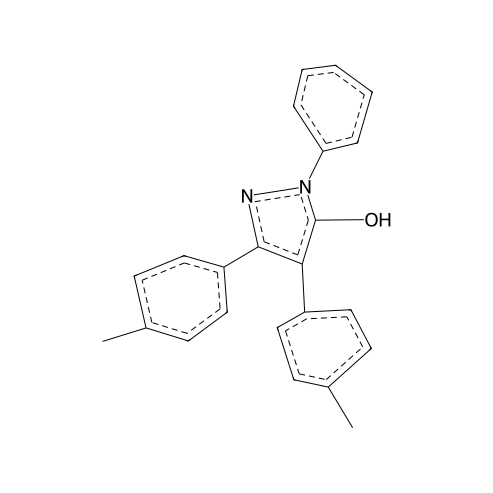 Cc1ccc(-c2nn(-c3ccccc3)c(O)c2-c2ccc(C)cc2)cc1